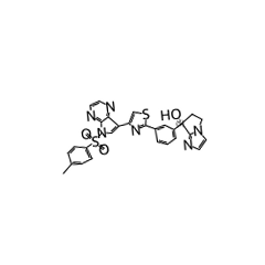 Cc1ccc(S(=O)(=O)n2cc(-c3csc(-c4cccc([C@@]5(O)CCn6ccnc65)c4)n3)c3nccnc32)cc1